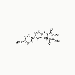 COC(=O)C(Cc1ccc(N2CCN(C(=O)O)CC2)nc1)NC(=O)OC(C)(C)C